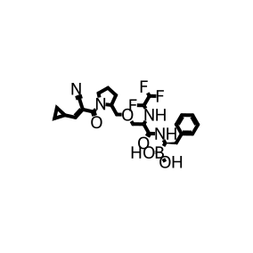 N#CC(=CC1CC1)C(=O)N1CCCC1COCC(NC(F)C(F)F)C(=O)N[C@@H](Cc1ccccc1)B(O)O